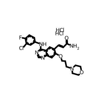 Cl.Cl.NC(=O)C=Cc1cc2c(Nc3ccc(F)c(Cl)c3)ncnc2cc1OCCCN1CCOCC1